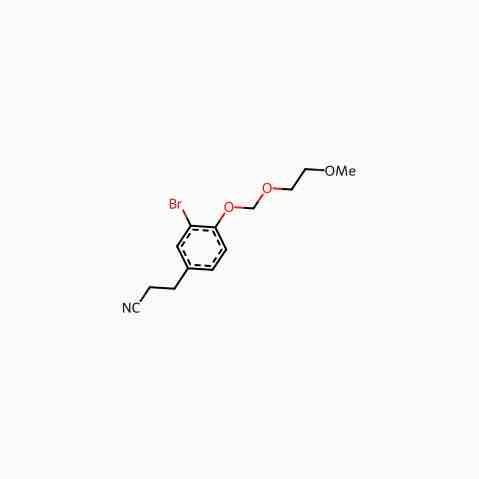 COCCOCOc1ccc(CCC#N)cc1Br